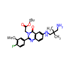 COc1cc(-c2nc3ccc(NCC(C)(C)CN)cc3c(=O)n2CC(=O)OC(C)(C)C)ccc1F